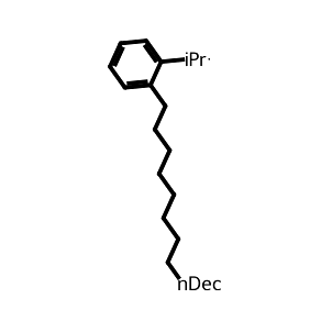 CCCCCCCCCCCCCCCCCCc1ccccc1[C](C)C